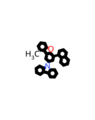 Cc1cccc2oc3c(-c4cccc5ccccc45)cc(-n4c5ccccc5c5ccccc54)cc3c12